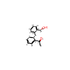 CC(=O)c1ccccc1.Cc1ccccc1CO